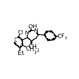 C=C1CC(c2ccc(C(F)(F)F)cc2)=NC(O)=NC1c1c(Cl)ccc(CC)c1C